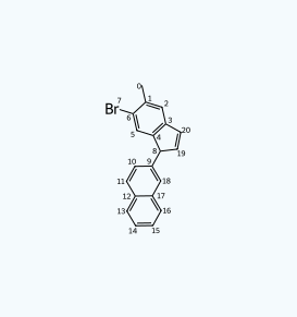 Cc1cc2c(cc1Br)C(c1ccc3ccccc3c1)C=C2